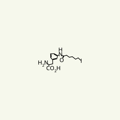 NC(Cc1cccc(NC(=O)CCCCCI)c1)C(=O)O